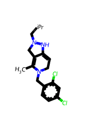 CC1=C2CN(CC(C)C)NC2=CCN1Cc1ccc(Cl)cc1Cl